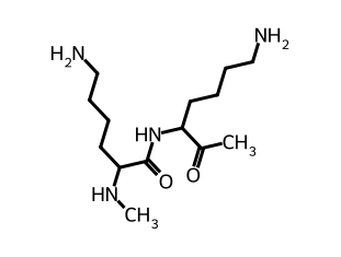 CNC(CCCCN)C(=O)NC(CCCCN)C(C)=O